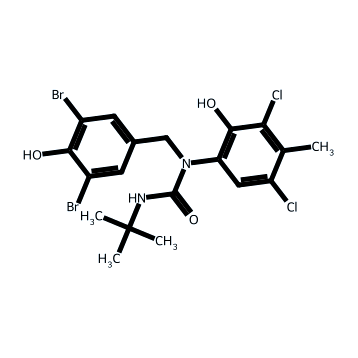 Cc1c(Cl)cc(N(Cc2cc(Br)c(O)c(Br)c2)C(=O)NC(C)(C)C)c(O)c1Cl